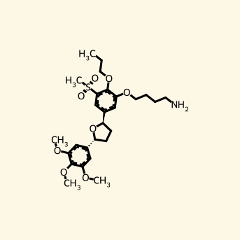 CCCOc1c(OCCCCN)cc([C@H]2CC[C@H](c3cc(OC)c(OC)c(OC)c3)O2)cc1S(C)(=O)=O